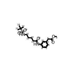 COC(=O)Cc1cccc(NC(=O)CCCCNS(=O)(=O)C(C)(C)C)c1